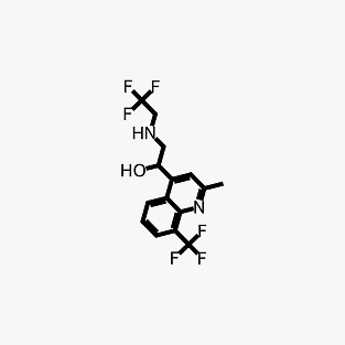 Cc1cc(C(O)CNCC(F)(F)F)c2cccc(C(F)(F)F)c2n1